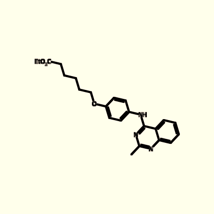 CCOC(=O)CCCCCOc1ccc(Nc2nc(C)nc3ccccc23)cc1